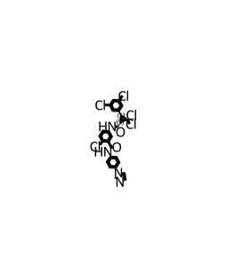 O=C(Nc1ccc(-n2ccnc2)cc1)c1cc(NC(=O)[C@@H]2[C@@H](c3cc(Cl)cc(Cl)c3)C2(Cl)Cl)ccc1Cl